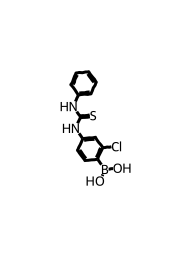 OB(O)c1ccc(NC(=S)Nc2ccccc2)cc1Cl